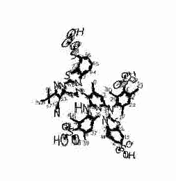 Cc1cc(N(c2nc3ccc(S(=O)(=O)O)cc3s2)c2c(C)cc(C)c(S(=O)(=O)O)c2C)nc(Nc2c(C)cc(C)c(S(=O)(=O)O)c2C)c1/N=N/c1c(C#N)c(C(C)(C)C)nn1-c1nc2cccc(SOOO)c2s1